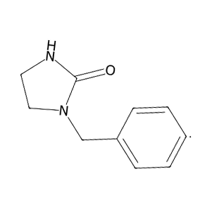 O=C1NCCN1Cc1cc[c]cc1